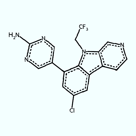 Nc1ncc(-c2cc(Cl)cc3c4ccncc4n(CC(F)(F)F)c23)cn1